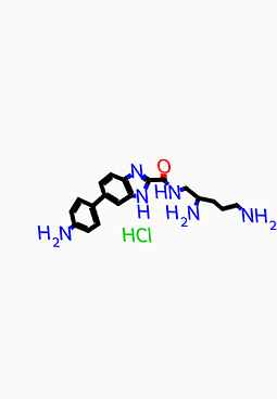 Cl.NCCCC(N)CNC(=O)c1nc2ccc(-c3ccc(N)cc3)cc2[nH]1